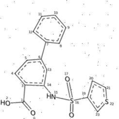 O=C(O)c1ccc(-c2ccccc2)cc1NS(=O)(=O)c1ccsc1